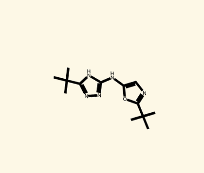 CC(C)(C)c1nnc(Nc2cnc(C(C)(C)C)o2)[nH]1